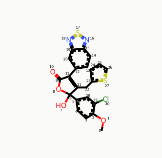 COc1ccc(C2(O)OC(=O)C(c3ccc4nsnc4c3)=C2Cc2cccs2)cc1Cl